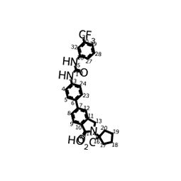 O=C(Nc1ccc(-c2ccc3c(c2)CN(C2(C(=O)O)CCCC2)C3=O)cc1)Nc1cccc(C(F)(F)F)c1